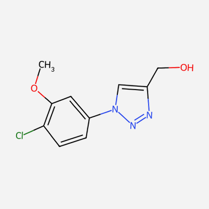 COc1cc(-n2cc(CO)nn2)ccc1Cl